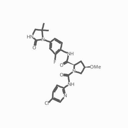 CO[C@@H]1C[C@H](C(=O)Nc2ccc(N3C(=O)NCC3(C)C)cc2F)N(C(=O)Nc2ccc(Cl)cn2)C1